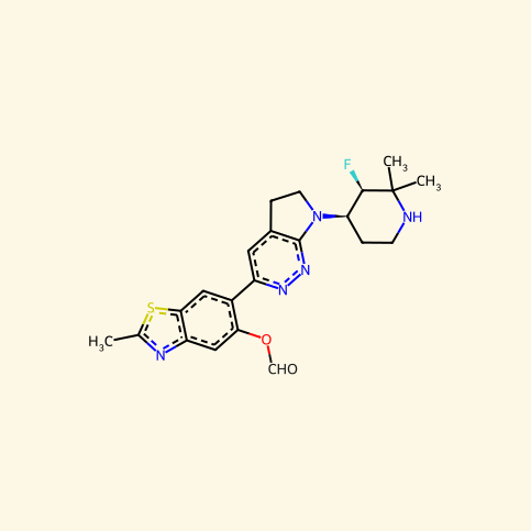 Cc1nc2cc(OC=O)c(-c3cc4c(nn3)N([C@@H]3CCNC(C)(C)[C@@H]3F)CC4)cc2s1